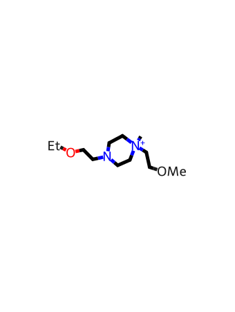 CCOCCN1CC[N+](C)(CCOC)CC1